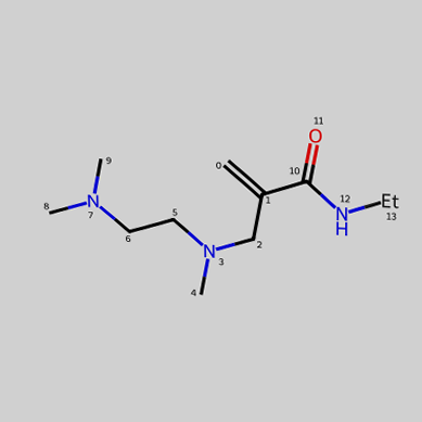 C=C(CN(C)CCN(C)C)C(=O)NCC